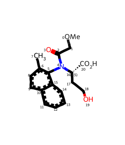 COCC(=O)N(c1c(C)ccc2ccccc12)[C@@H](CCO)C(=O)O